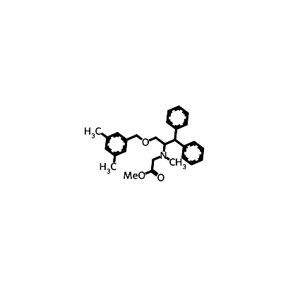 COC(=O)CN(C)C(COCc1cc(C)cc(C)c1)C(c1ccccc1)c1ccccc1